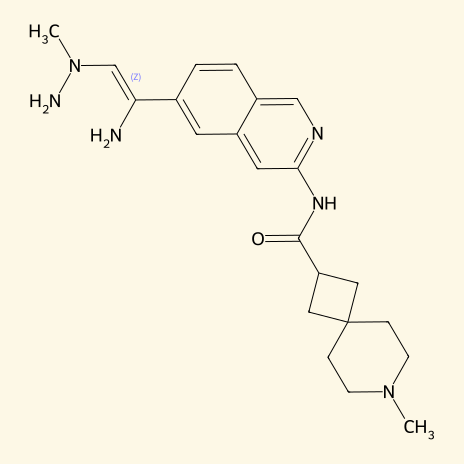 CN(N)/C=C(\N)c1ccc2cnc(NC(=O)C3CC4(CCN(C)CC4)C3)cc2c1